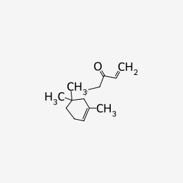 C=CC(=O)CC[C@@H]1C(C)=CCCC1(C)C